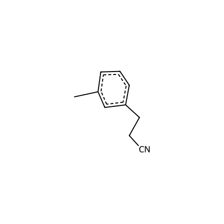 Cc1cccc(CCC#N)c1